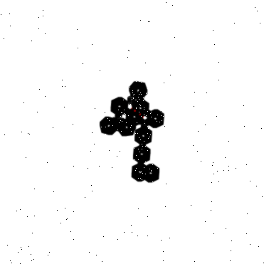 c1ccc(N(c2ccc(-c3ccc(-c4cccc5ccccc45)cc3)cc2)c2ccc(-c3ccccc3-n3c4ccccc4c4ccccc43)cc2)c(-c2ccc3oc4ccccc4c3c2)c1